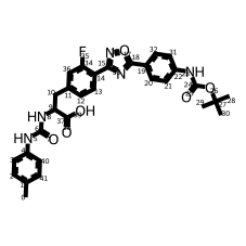 Cc1ccc(NC(=O)NC(Cc2ccc(-c3noc(-c4ccc(NC(=O)OC(C)(C)C)cc4)n3)c(F)c2)C(=O)O)cc1